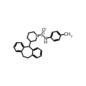 Cc1ccc(N[S+]([O-])N2CCCC(C3c4ccccc4CCc4ccccc43)C2)cc1